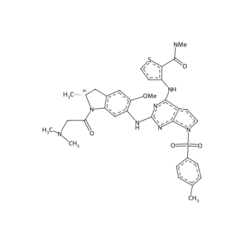 CNC(=O)c1sccc1Nc1nc(Nc2cc3c(cc2OC)C[C@@H](C)N3C(=O)CN(C)C)nc2c1ccn2S(=O)(=O)c1ccc(C)cc1